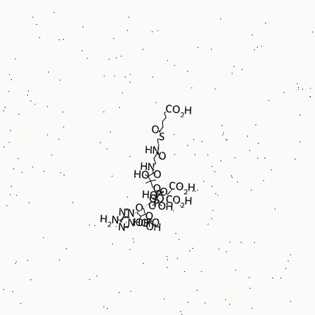 CC(C)(COP(=O)(O)OP(=O)(O)OC[C@H]1O[C@@H](n2cnc3c(N)ncnc32)[C@H](O)[C@@H]1OP(=O)(O)O)[C@@H](O)C(=O)NCCC(=O)NCCSC(=O)CCCCC(=O)O.O=C(O)CCC(=O)O